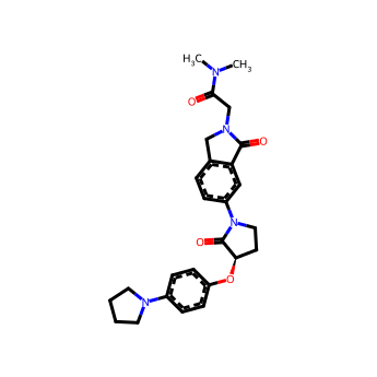 CN(C)C(=O)CN1Cc2ccc(N3CC[C@@H](Oc4ccc(N5CCCC5)cc4)C3=O)cc2C1=O